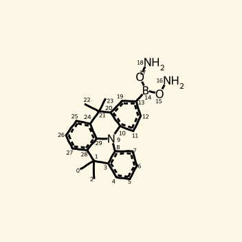 CC1(C)c2ccccc2N2c3ccc(B(ON)ON)cc3C(C)(C)c3cccc1c32